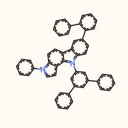 c1ccc(-c2cc(-c3ccccc3)cc(-n3c4ccc(-c5ccccc5-c5ccccc5)cc4c4ccc5c(ccn5-c5ccccc5)c43)c2)cc1